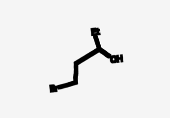 CCC(O)CCBr